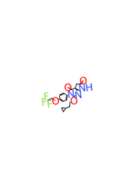 O=C1Cc2c(nc(OCCC3CC3)n(-c3ccc(OCC(F)(F)F)cc3)c2=O)N1